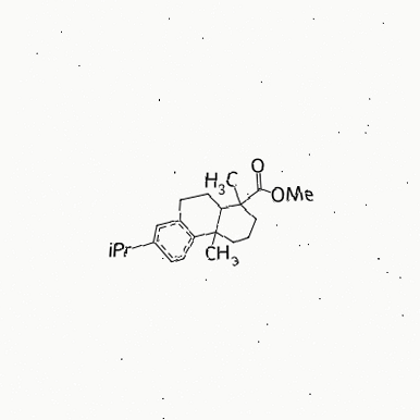 COC(=O)C1(C)CCCC2(C)c3ccc(C(C)C)cc3CCC12